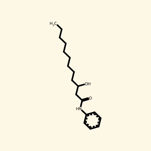 CCCCCCCCCC(O)CC(=O)Nc1ccccc1